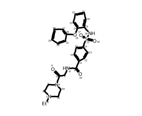 CCN1CCN(C(=O)CNC(=O)c2ccc(S(=O)(=O)Nc3ccccc3Oc3ccccc3)cc2)CC1